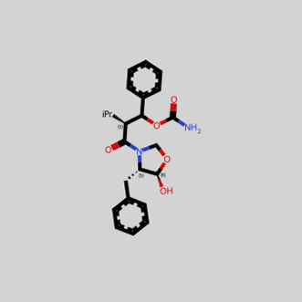 CC(C)[C@H](C(=O)N1CO[C@@H](O)[C@@H]1Cc1ccccc1)C(OC(N)=O)c1ccccc1